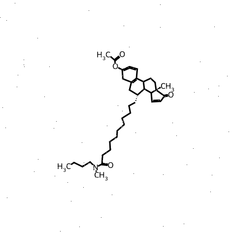 CCCCN(C)C(=O)CCCCCCCCCC[C@@H]1CC2=C(C=C=C(OC(C)=O)C2)C2CC[C@]3(C)C(=O)C=CC3C21